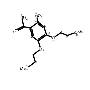 COCCOc1cc(C(N)=O)c([N+](=O)[O-])cc1OCCOC